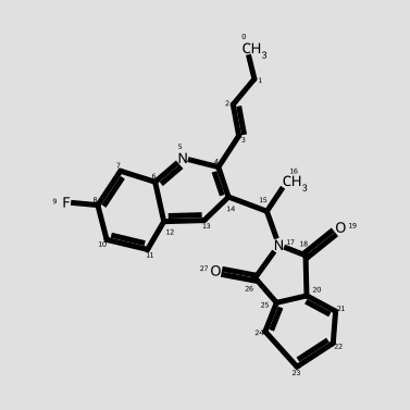 CCC=Cc1nc2cc(F)ccc2cc1C(C)N1C(=O)c2ccccc2C1=O